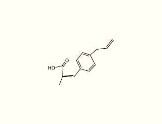 C=CCc1ccc(C=C(C)C(=O)O)cc1